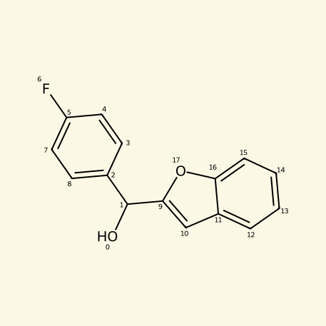 OC(c1ccc(F)cc1)c1cc2ccccc2o1